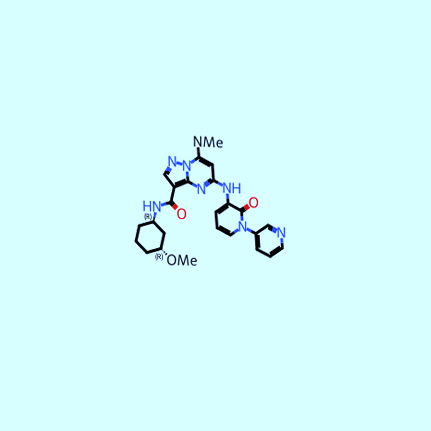 CNc1cc(Nc2cccn(-c3cccnc3)c2=O)nc2c(C(=O)N[C@@H]3CCC[C@@H](OC)C3)cnn12